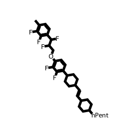 CCCCCC1CCC(/C=C/C2CCC(c3ccc(OCC(F)C(F)c4ccc(C)c(F)c4F)c(F)c3F)CC2)CC1